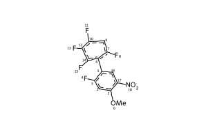 COc1cc(F)c(-c2c(F)cc(F)c(F)c2F)cc1[N+](=O)[O-]